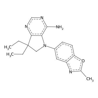 CCC1(CC)CN(c2ccc3oc(C)nc3c2)c2c(N)ncnc21